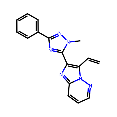 C=Cc1c(-c2nc(-c3ccccc3)nn2C)nc2cccnn12